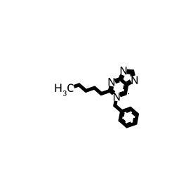 CCCCCc1nc2ncnc-2[c]n1Cc1ccccc1